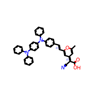 CC1=C/C(=C(/C#N)C(=O)O)C=C(/C=C/c2ccc(N(c3ccccc3)c3ccc(N(c4ccccc4)c4ccccc4)cc3)cc2)O1